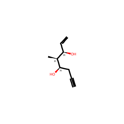 C#CC[C@@H](O)[C@@H](C)[C@H](O)C=C